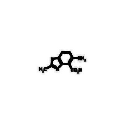 Cc1nc2c(C(=O)O)c(N)ccc2s1